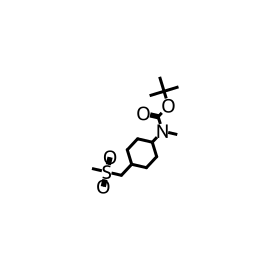 CN(C(=O)OC(C)(C)C)C1CCC(CS(C)(=O)=O)CC1